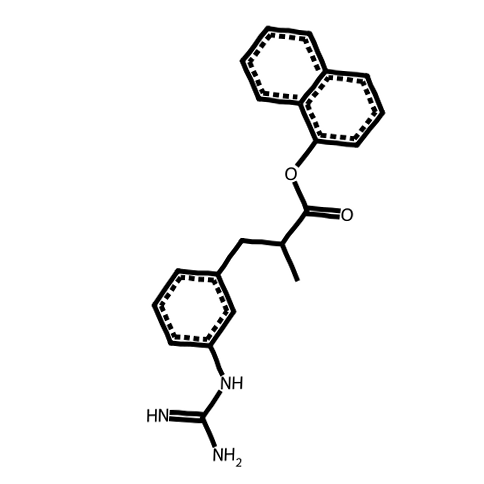 CC(Cc1cccc(NC(=N)N)c1)C(=O)Oc1cccc2ccccc12